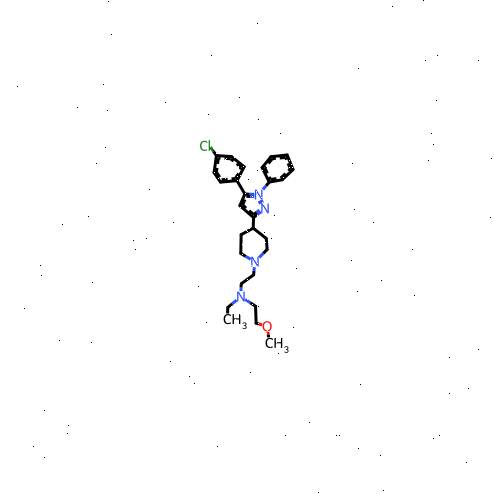 CCN(CCOC)CCN1CCC(c2cc(-c3ccc(Cl)cc3)n(-c3ccccc3)n2)CC1